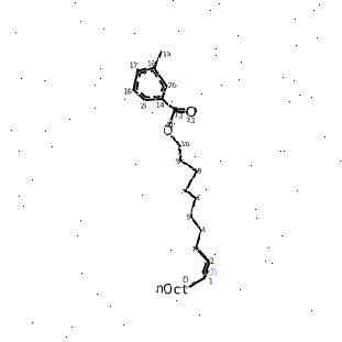 CCCCCCCC/C=C\CCCCCCCCOC(=O)c1cccc(C)c1